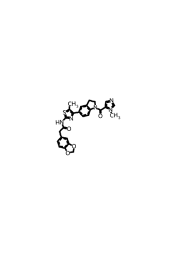 Cc1sc(NC(=O)Cc2ccc3c(c2)OCO3)nc1-c1ccc2c(c1)CCN2C(=O)c1cncn1C